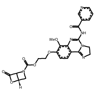 COc1c(OCCOC(=O)N2C[C@@H]3OC(=O)C32)ccc2c1N=C(NC(=O)c1cccnc1)N1CCN=C21